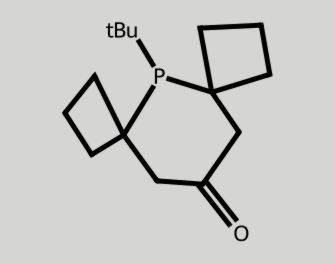 CC(C)(C)P1C2(CCC2)CC(=O)CC12CCC2